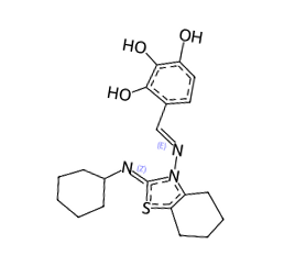 Oc1ccc(/C=N/n2c3c(s/c2=N\C2CCCCC2)CCCC3)c(O)c1O